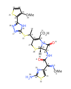 CON=C(C(=O)N[C@@H]1C(=O)N2C(C(=O)O)=C(C(C)Sc3nnc(-c4sccc4OC)[nH]3)CS[C@@H]12)c1csc(N)n1